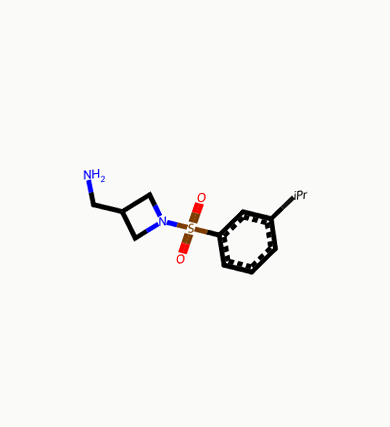 CC(C)c1cccc(S(=O)(=O)N2CC(CN)C2)c1